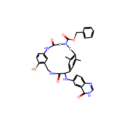 Cc1cc2cc(C)c1CN(C(=O)OCc1ccccc1)CC(=O)Nc1ccc(S)c(c1)CNC(=O)C2Nc1ccc2nc[nH]c(=O)c2c1